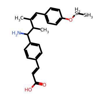 CC(=Cc1ccc(O[SiH2][SiH3])cc1)C(C)C(N)c1ccc(C=CC(=O)O)cc1